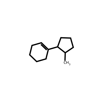 CC1CCCC1C1=CCCC[CH]1